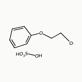 O=S(=O)(O)O.[O]CCOc1ccccc1